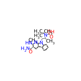 CNc1nc2c(cc1C(N)=O)c1ccccc1n2C[C@H](C)N(C(=O)O)C(C)(C)C